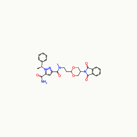 C[C@@H](c1ccccc1)n1nc(C(=O)N(C)CCC2OCC(N3C(=O)c4ccccc4C3=O)CO2)cc1C(N)=O